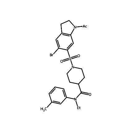 CCN(C(=O)C1CCN(S(=O)(=O)c2cc3c(cc2Br)CCN3C(C)=O)CC1)c1cccc(C)c1